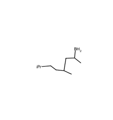 BC(C)CC(C)CCC(C)C